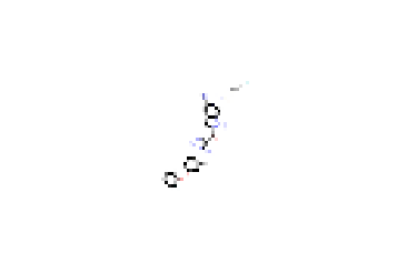 Cc1cc(Oc2ccccc2F)ccc1-n1ncc(C(=O)c2cc3cc(C(C)C)c(N[S@+]([O-])CCCF)cc3[nH]2)c1N